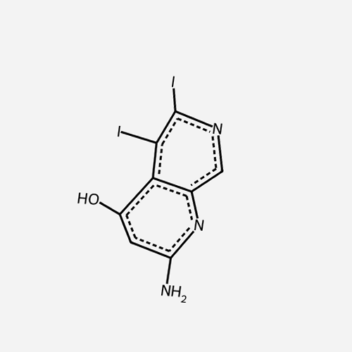 Nc1cc(O)c2c(I)c(I)ncc2n1